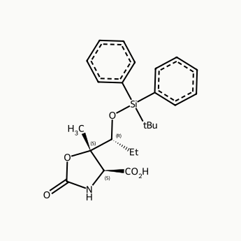 CC[C@@H](O[Si](c1ccccc1)(c1ccccc1)C(C)(C)C)[C@@]1(C)OC(=O)N[C@@H]1C(=O)O